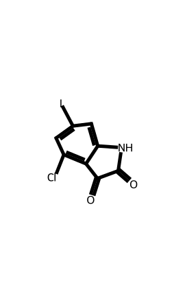 O=C1Nc2cc(I)cc(Cl)c2C1=O